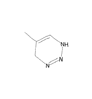 CC1=CNN=NC1